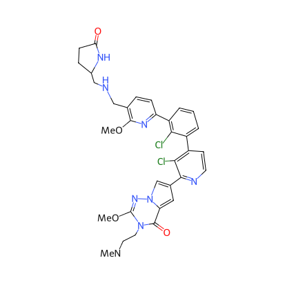 CNCCn1c(OC)nn2cc(-c3nccc(-c4cccc(-c5ccc(CNCC6CCC(=O)N6)c(OC)n5)c4Cl)c3Cl)cc2c1=O